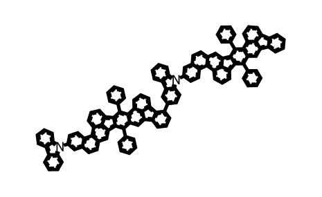 c1ccc(-c2c3cc4c5ccccc5c5cccc(c3c(-c3ccccc3)c3c6cc7ccc8cc(-n9c%10ccccc%10c%10cc(-c%11cccc%12c%13cc%14c(-c%15ccccc%15)c%15c%16cc%17ccc%18cc(-n%19c%20ccccc%20c%20ccccc%20%19)ccc%18c%17c%17cccc(c%15c(-c%15ccccc%15)c%14c%14cccc(c%11%12)c%13%14)c%16%17)ccc%109)ccc8c7c7cccc(c23)c67)c54)cc1